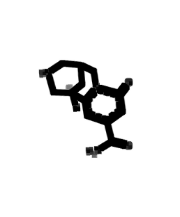 NC(=O)c1cc2n(c(=O)c1)CC1CNC[C@@H]2C1